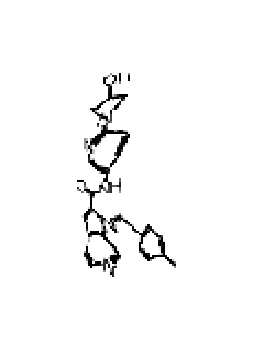 Cc1ccc(Cn2c(C(=O)Nc3ccc(N4CC(O)C4)nc3)cc3ccncc32)cc1